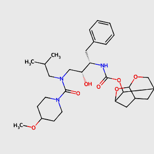 COC1CCN(C(=O)N(CC(C)C)C[C@@H](O)[C@H](Cc2ccccc2)NC(=O)OC2C3COC4OC2CC4C3)CC1